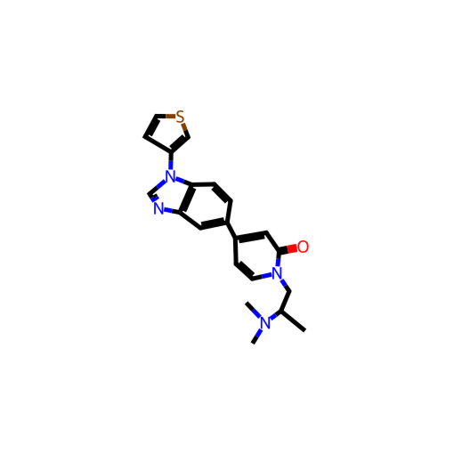 CC(Cn1ccc(-c2ccc3c(c2)ncn3-c2ccsc2)cc1=O)N(C)C